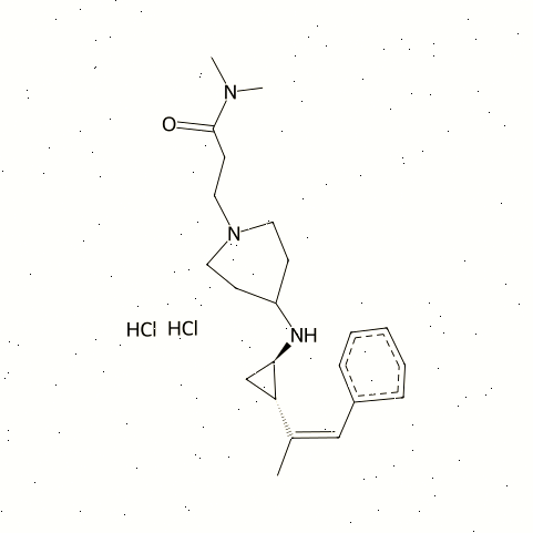 CC(=Cc1ccccc1)[C@@H]1C[C@H]1NC1CCN(CCC(=O)N(C)C)CC1.Cl.Cl